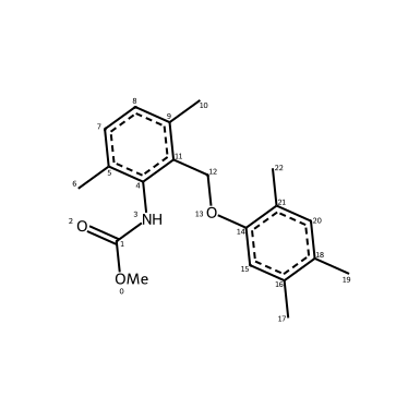 COC(=O)Nc1c(C)ccc(C)c1COc1cc(C)c(C)cc1C